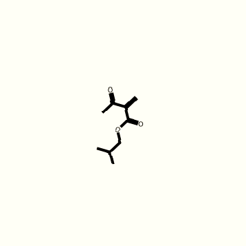 C=C(C(C)=O)C(=O)OCC(C)C